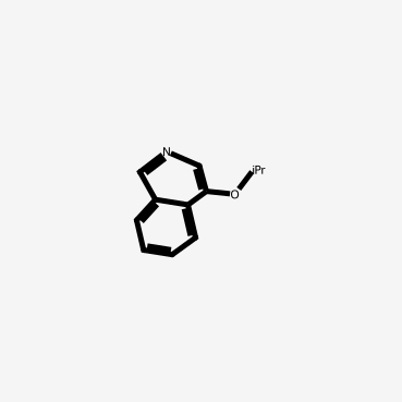 CC(C)Oc1cncc2ccccc12